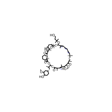 CO[C@@H]1C[C@H](C[C@@H](C)[C@@H]2CC(=O)[C@H](C)/C=C(\C)[C@@H](O)[C@@H](OC)C(=O)[C@H](C)C[C@H](C)/C=C/C=C/C=C(\C)C(OC(C)(C)CCO)C[C@@H]3CC[C@@H](C)[C@@](O)(O3)C(=O)C(=O)N3CCCC[C@H]3C(=O)O2)CC[C@H]1O